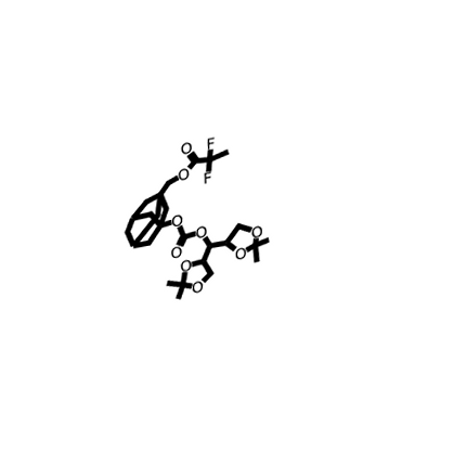 CC1(C)OCC(C(OC(=O)OC23CC4CC(CC(COC(=O)C(C)(F)F)(C4)C2)C3)C2COC(C)(C)O2)O1